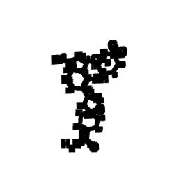 CCn1nc(C)c2c(NC3CCS(=O)(=O)CC3)c(C3=NOC4(CCC(C(N)=O)CC4)C3)cnc21